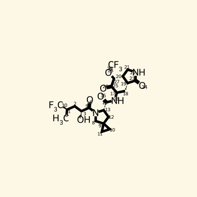 C[C@H](C[C@@H](O)C(=O)N1CC2(CC2)C[C@H]1C(=O)NC(C[C@@H]1CCNC1=O)C(=O)COC(F)(F)F)C(F)(F)F